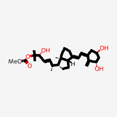 C=C1/C(=C\C=C2/CCC[C@]3(C)[C@@H]([C@H](C)/C=C/[C@@H](O)C(C)(C)OC(=O)OC)CC[C@@H]23)C[C@@H](O)C[C@@H]1O